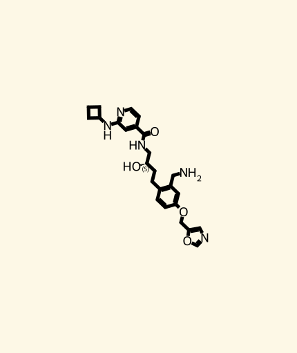 NCc1cc(OCc2cnco2)ccc1CC[C@H](O)CNC(=O)c1ccnc(NC2CCC2)c1